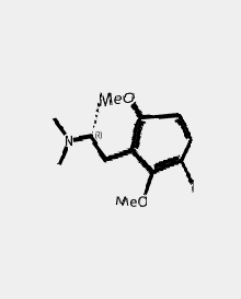 COc1ccc(I)c(OC)c1C[C@@H](C)N(C)C